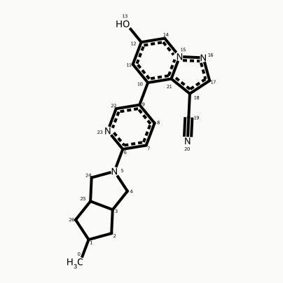 CC1CC2CN(c3ccc(-c4cc(O)cn5ncc(C#N)c45)cn3)CC2C1